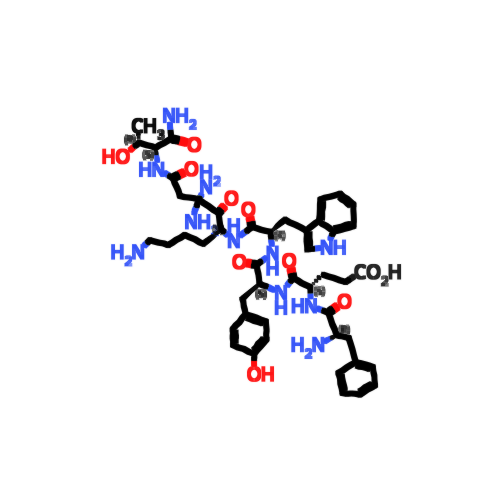 C[C@@H](O)[C@H](NC(=O)CC(N)(N)C(=O)[C@H](CCCCN)NC(=O)[C@@H](Cc1c[nH]c2ccccc12)NC(=O)[C@H](Cc1ccc(O)cc1)NC(=O)[C@H](CCC(=O)O)NC(=O)[C@H](N)Cc1ccccc1)C(N)=O